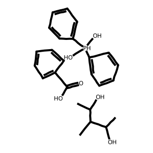 CC(O)C(C)C(C)O.O=C(O)c1ccccc1.O[PH](O)(c1ccccc1)c1ccccc1